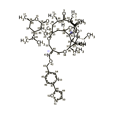 CC[C@H]1OC(=O)[C@H](C)C(=O)[C@H](C)[C@@H](O[C@@H]2O[C@H](C)C[C@H](N(C)C)[C@H]2O)[C@@]2(C)C[C@@H](C)/C(=N\C(C)=O)[C@H](C)[C@@H](OC/C(=N\OCc3ccc(-c4ccno4)nc3)CO2)[C@]1(C)O